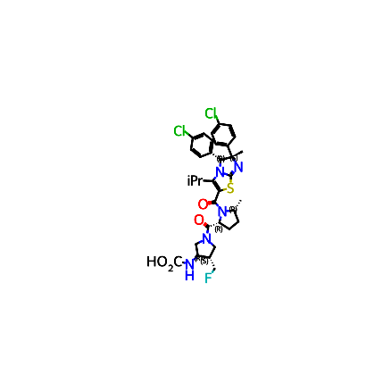 CC(C)C1=C(C(=O)N2[C@H](C)CC[C@@H]2C(=O)N2C[C@H](CF)[C@@H](NC(=O)O)C2)SC2=N[C@@](C)(c3ccc(Cl)cc3)[C@@H](c3ccc(Cl)cc3)N21